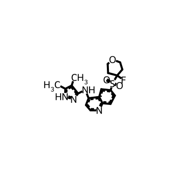 Cc1[nH]nc(Nc2ccnc3ccc(S(=O)(=O)C4(F)CCOCC4)cc23)c1C